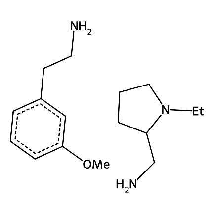 CCN1CCCC1CN.COc1cccc(CCN)c1